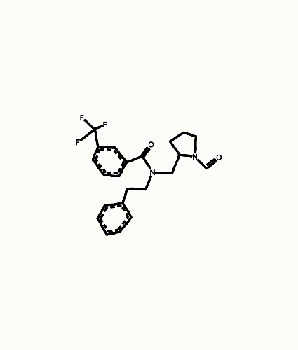 O=CN1CCCC1CN(CCc1ccccc1)C(=O)c1cccc(C(F)(F)F)c1